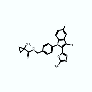 Cc1nnc(-c2c(Cl)c3cc(F)ccc3n2-c2ccc(CNC(=O)C3(N)CC3)cc2)o1